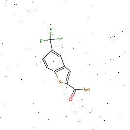 O=C(S)c1cc2cc(C(F)(F)F)ccc2s1